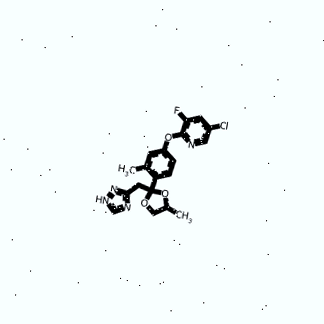 Cc1cc(Oc2ncc(Cl)cc2F)ccc1C1(Cc2nc[nH]n2)OCC(C)O1